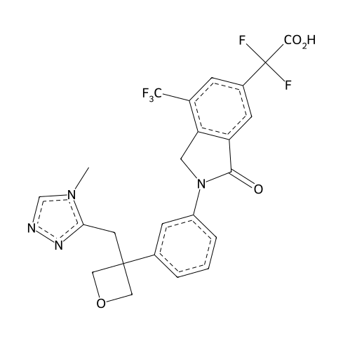 Cn1cnnc1CC1(c2cccc(N3Cc4c(cc(C(F)(F)C(=O)O)cc4C(F)(F)F)C3=O)c2)COC1